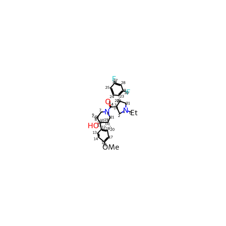 CCN1C[C@@H](C(=O)N2C[C@@H](C)[C@](O)(c3ccc(OC)cc3)[C@@H](C)C2)[C@H](c2ccc(F)cc2F)C1